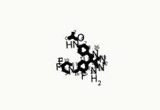 C=C(C)C(=O)Nc1ccc(-c2c(-c3ccc(CN4CCC(F)(F)CC4)c(F)c3)c3c(N)ncnc3n2C)cc1